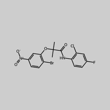 CC(C)(Oc1cc([N+](=O)[O-])ccc1Br)C(=O)Nc1ccc(F)cc1Cl